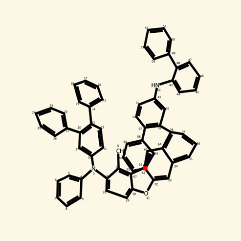 Cc1c(N(c2ccccc2)c2ccc(-c3ccccc3)c(-c3ccccc3)c2)ccc2oc3cc4cccc(-c5cc(Nc6ccccc6-c6ccccc6)ccc5-c5ccccc5)c4cc3c12